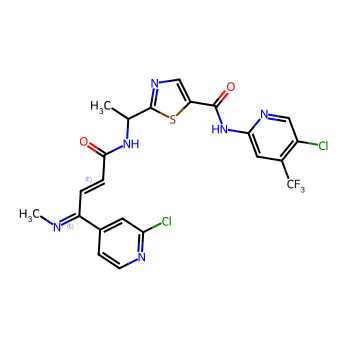 C/N=C(\C=C\C(=O)NC(C)c1ncc(C(=O)Nc2cc(C(F)(F)F)c(Cl)cn2)s1)c1ccnc(Cl)c1